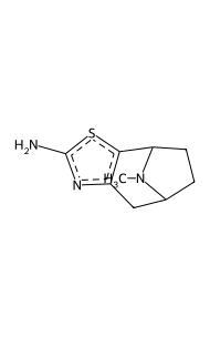 CN1C2CCC1c1sc(N)nc1C2